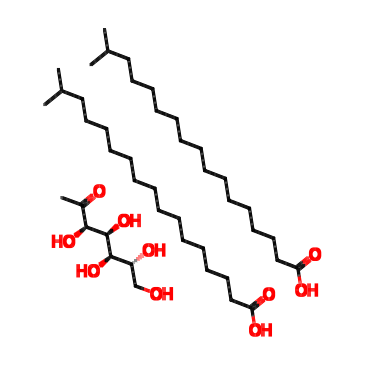 CC(=O)[C@H](O)[C@@H](O)[C@H](O)[C@H](O)CO.CC(C)CCCCCCCCCCCCCCC(=O)O.CC(C)CCCCCCCCCCCCCCC(=O)O